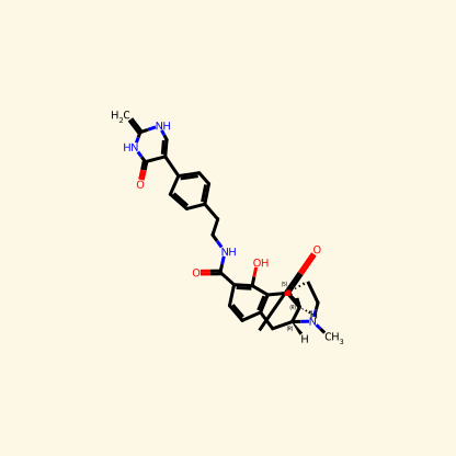 C=C1NC=C(c2ccc(CCNC(=O)c3ccc4c(c3O)[C@]35CCN(C)[C@H](C4)[C@@H]3CCC(=O)C5)cc2)C(=O)N1